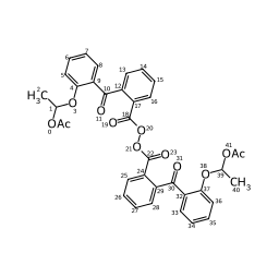 CC(=O)OC(C)Oc1ccccc1C(=O)c1ccccc1C(=O)OOC(=O)c1ccccc1C(=O)c1ccccc1OC(C)OC(C)=O